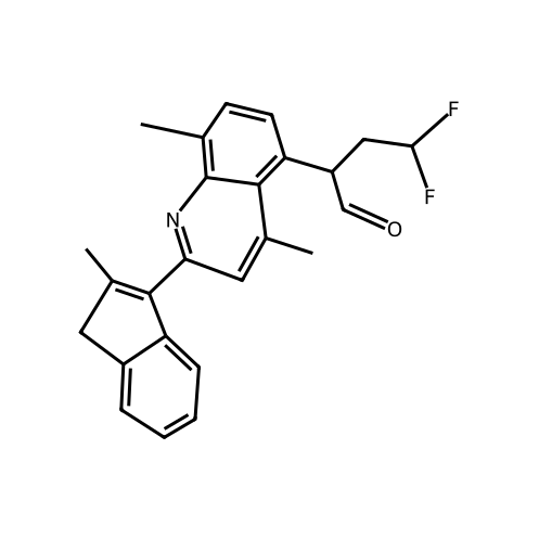 CC1=C(c2cc(C)c3c(C(C=O)CC(F)F)ccc(C)c3n2)c2ccccc2C1